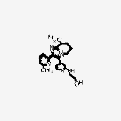 Cc1cccc(-c2nc3n(c2-c2ccnc(NCCO)c2)CCC[C@@H]3C)n1